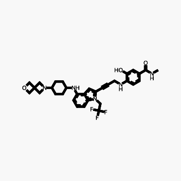 CNC(=O)c1ccc(NCC#Cc2cc3c(NC4CCC(N5CC6(COC6)C5)CC4)cccc3n2CC(F)(F)F)c(O)c1